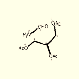 CC(=O)OCC(COC(C)=O)OC(C)=O.NC=O